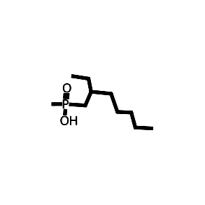 CCCCCC(CC)CP(C)(=O)O